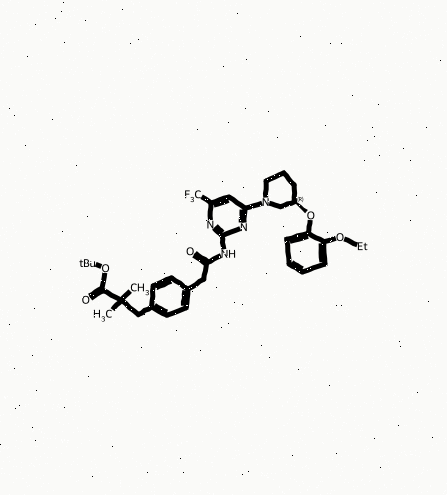 CCOc1ccccc1O[C@@H]1CCCN(c2cc(C(F)(F)F)nc(NC(=O)Cc3ccc(CC(C)(C)C(=O)OC(C)(C)C)cc3)n2)C1